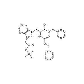 CC(C)(C)OC(=O)Cn1cc(C[C@H](NC(=O)OCc2ccccc2)C(=O)OCc2ccccc2)c2cccnc21